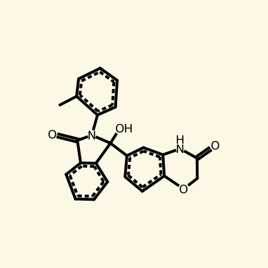 Cc1ccccc1N1C(=O)c2ccccc2C1(O)c1ccc2c(c1)NC(=O)CO2